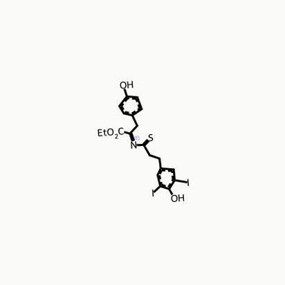 CCOC(=O)/C(Cc1ccc(O)cc1)=N/C(=S)CCc1cc(I)c(O)c(I)c1